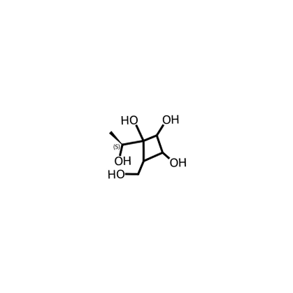 C[C@H](O)C1(O)C(O)C(O)C1CO